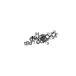 CC(C)(C)c1cc(NC(=O)C(C)(C)S(=O)(=O)c2ccc(-c3ccccc3)cc2)no1